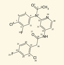 CC(=O)N(c1ccc(Cl)c(F)c1)c1cc(NC(=O)Cc2ccc(F)cc2Cl)ccn1